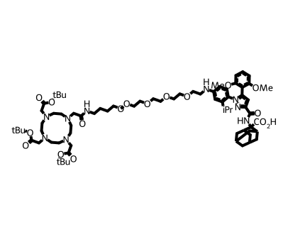 COc1cccc(OC)c1-c1cc(C(=O)NC2(C(=O)O)C3CC4CC(C3)CC2C4)nn1-c1ccc(NCCOCCOCCOCCOOCCCCNC(=O)CN2CCN(CC(=O)OC(C)(C)C)CCN(CC(=O)OC(C)(C)C)CCN(CC(=O)OC(C)(C)C)CC2)cc1C(C)C